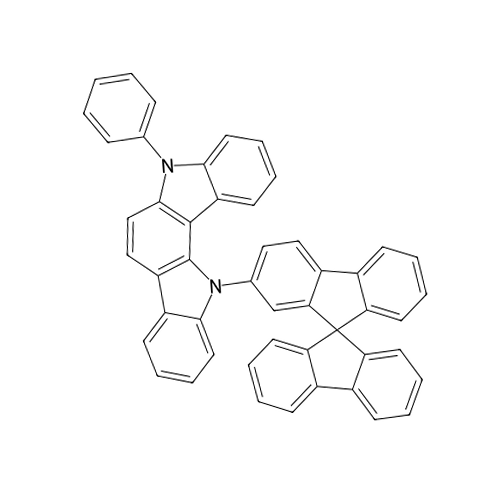 c1ccc(-n2c3ccccc3c3c2ccc2c4ccccc4n(-c4ccc5c(c4)C4(c6ccccc6-c6ccccc64)c4ccccc4-5)c23)cc1